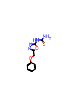 NC(=S)Nc1nnc(COc2ccccc2)o1